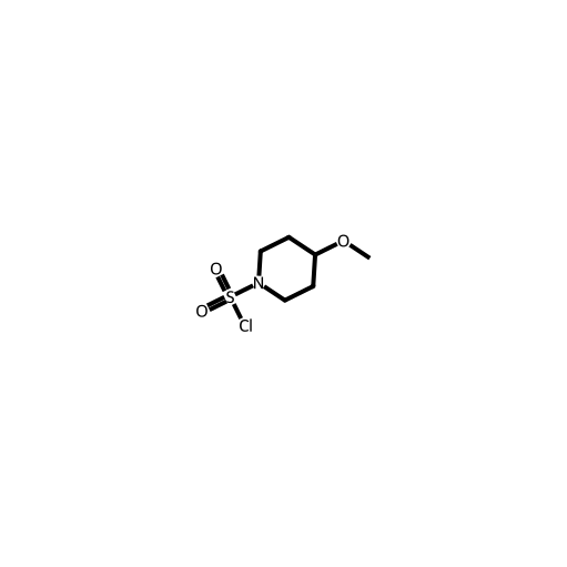 COC1CCN(S(=O)(=O)Cl)CC1